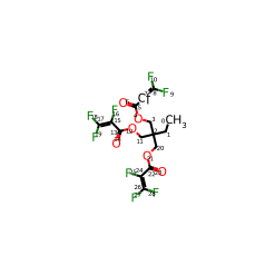 CCC(CO[C](=O)[Cf]=[C](F)F)(COC(=O)C(F)=C(F)F)COC(=O)C(F)=C(F)F